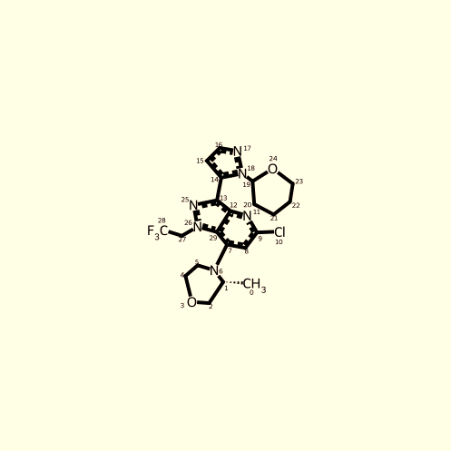 C[C@@H]1COCCN1c1cc(Cl)nc2c(-c3ccnn3C3CCCCO3)nn(CC(F)(F)F)c12